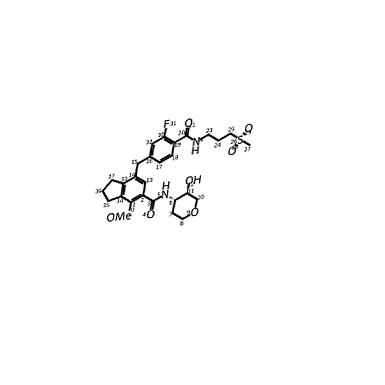 COc1c(C(=O)N[C@H]2CCOC[C@@H]2O)cc(Cc2ccc(C(=O)NCCCS(C)(=O)=O)c(F)c2)c2c1CCC2